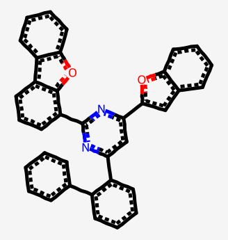 c1ccc(-c2ccccc2-c2cc(-c3cc4ccccc4o3)nc(-c3cccc4c3oc3ccccc34)n2)cc1